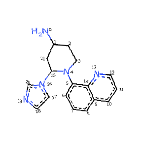 NC1CCN(c2cccc3cccnc23)C(n2ccnc2)C1